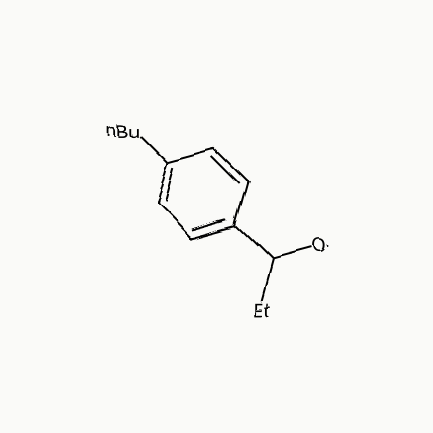 CCCCc1ccc(C([O])CC)cc1